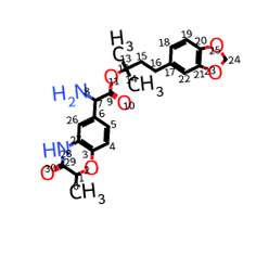 CC1Oc2ccc(C(N)C(=O)OC(C)(C)CCc3ccc4c(c3)OCO4)cc2NC1=O